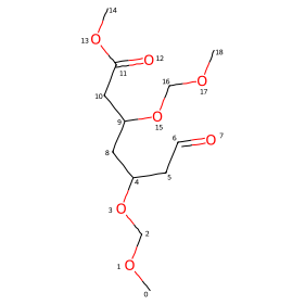 COCOC(CC=O)CC(CC(=O)OC)OCOC